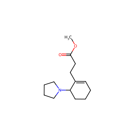 COC(=O)CCC1=CCCCC1N1CCCC1